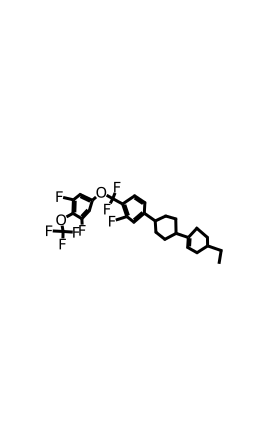 CCC1CC=C(C2CCC(c3ccc(C(F)(F)Oc4cc(F)c(OC(F)(F)F)c(F)c4)c(F)c3)CC2)CC1